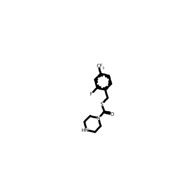 O=C(SCc1ccc(C(F)(F)F)cc1F)N1CCNCC1